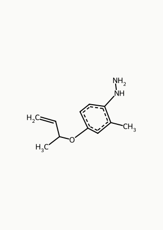 C=CC(C)Oc1ccc(NN)c(C)c1